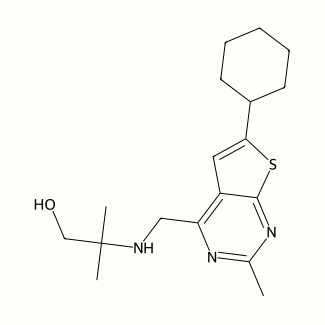 Cc1nc(CNC(C)(C)CO)c2cc(C3CCCCC3)sc2n1